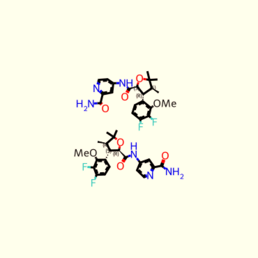 COc1c([C@@H]2[C@@H](C(=O)Nc3ccnc(C(N)=O)c3)OC(C)(C)[C@H]2C)ccc(F)c1F.COc1c([C@@H]2[C@@H](C)C(C)(C)O[C@H]2C(=O)Nc2ccnc(C(N)=O)c2)ccc(F)c1F